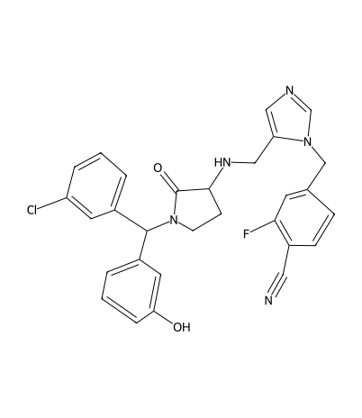 N#Cc1ccc(Cn2cncc2CNC2CCN(C(c3cccc(O)c3)c3cccc(Cl)c3)C2=O)cc1F